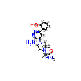 CNC(=O)[C@@H](C)N1CCN(c2cc(-c3ccccc3O)nnc2N)C[C@H]1C